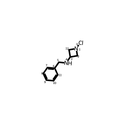 ClN1CC(NCc2ccccc2)C1